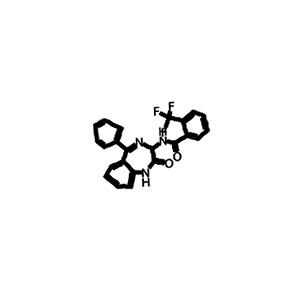 O=C(NC1N=C(c2ccccc2)c2ccccc2NC1=O)c1ccccc1C(F)(F)F